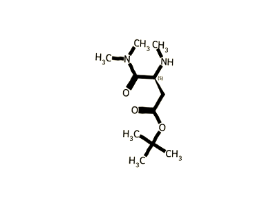 CN[C@@H](CC(=O)OC(C)(C)C)C(=O)N(C)C